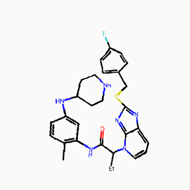 CCC(C(=O)Nc1cc(NC2CCNCC2)ccc1C)n1cccc2nc(SCc3ccc(F)cc3)nc1-2